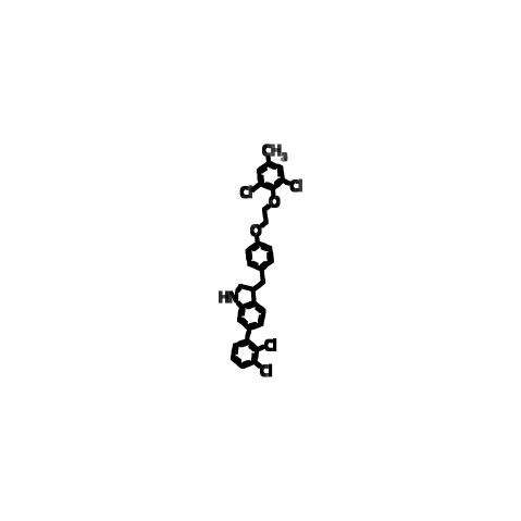 Cc1cc(Cl)c(OCCOc2ccc(CC3CNc4cc(-c5cccc(Cl)c5Cl)ccc43)cc2)c(Cl)c1